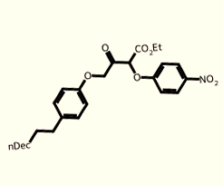 CCCCCCCCCCCCc1ccc(OCC(=O)C(Oc2ccc([N+](=O)[O-])cc2)C(=O)OCC)cc1